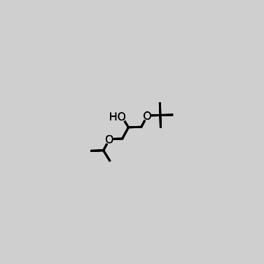 CC(C)OCC(O)COC(C)(C)C